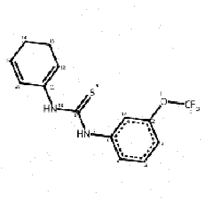 FC(F)(F)Oc1cccc(NC(=S)NC2=CC[CH]C=C2)c1